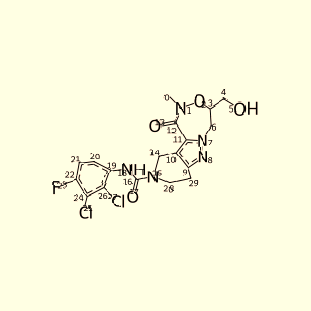 CN1OC(CO)Cn2nc3c(c2C1=O)CN(C(=O)Nc1ccc(F)c(Cl)c1Cl)CC3